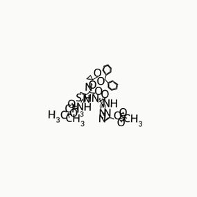 CC(C)(C)OC(=O)Nc1nc(C(=NOC2(C(=O)OC(c3ccccc3)c3ccccc3)CC2)C(=O)N[C@@H]2C(=O)N[C@@H]2Cn2ncc(COS(C)(=O)=O)n2)cs1